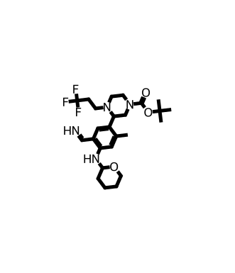 Cc1cc(NC2CCCCO2)c(C=N)cc1C1CN(C(=O)OC(C)(C)C)CCN1CCC(F)(F)F